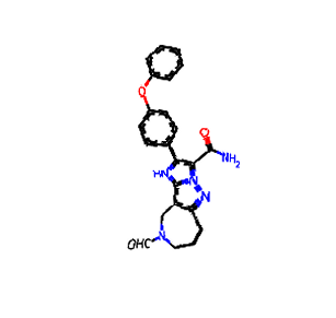 NC(=O)c1c(-c2ccc(Oc3ccccc3)cc2)[nH]c2c3c(nn12)CCCN(C=O)C3